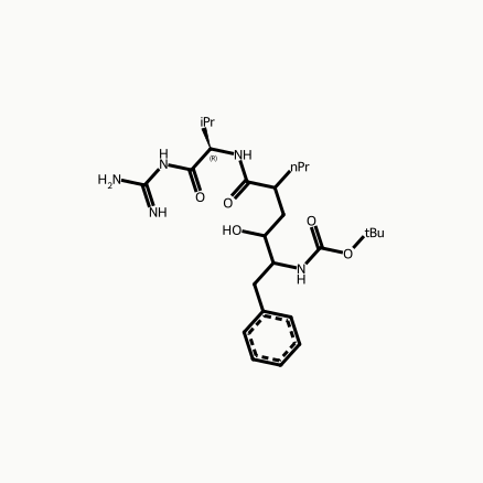 CCCC(CC(O)C(Cc1ccccc1)NC(=O)OC(C)(C)C)C(=O)N[C@@H](C(=O)NC(=N)N)C(C)C